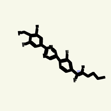 CCCC/C(F)=C(\F)c1ccc(-c2cnc(-c3cc(F)c(CF)c(F)c3)nc2)c(F)c1